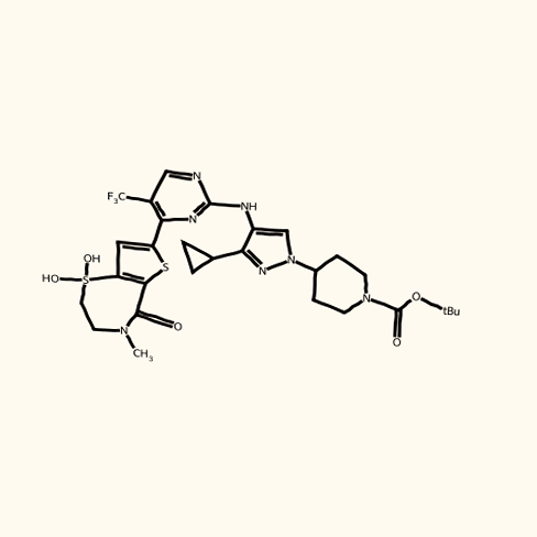 CN1CCS(O)(O)c2cc(-c3nc(Nc4cn(C5CCN(C(=O)OC(C)(C)C)CC5)nc4C4CC4)ncc3C(F)(F)F)sc2C1=O